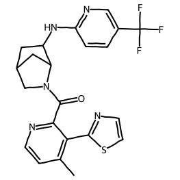 Cc1ccnc(C(=O)N2CC3CC(Nc4ccc(C(F)(F)F)cn4)C2C3)c1-c1nccs1